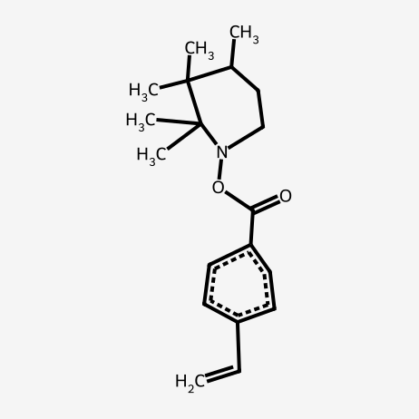 C=Cc1ccc(C(=O)ON2CCC(C)C(C)(C)C2(C)C)cc1